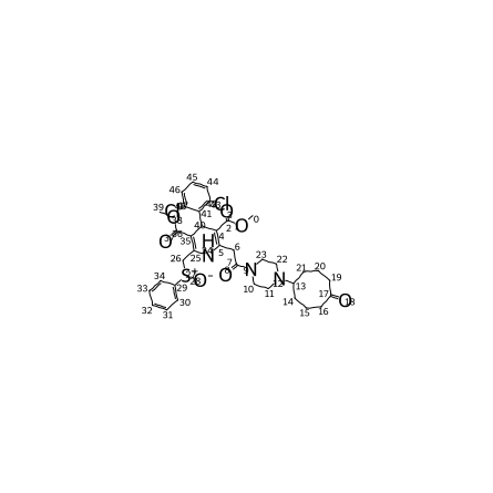 COC(=O)C1=C(CC(=O)N2CCN(C3CCCC(=O)CCC3)CC2)NC(C[S+]([O-])c2ccccc2)=C(C(=O)OC)C1c1c(Cl)cccc1Cl